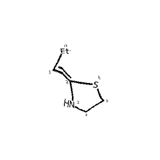 C[CH]C=C1NCCS1